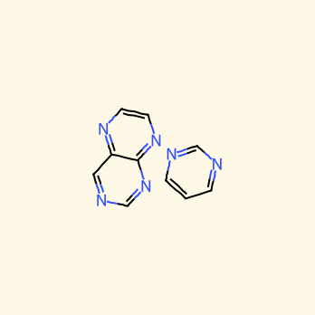 c1cnc2ncncc2n1.c1cncnc1